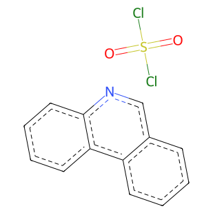 O=S(=O)(Cl)Cl.c1ccc2c(c1)cnc1ccccc12